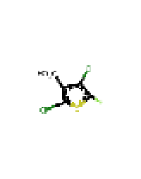 O=C(O)c1c(Cl)sc(F)c1Cl